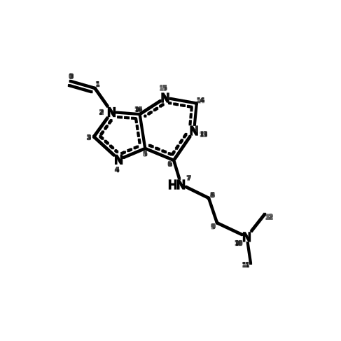 C=Cn1cnc2c(NCCN(C)C)ncnc21